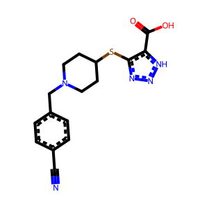 N#Cc1ccc(CN2CCC(Sc3nn[nH]c3C(=O)O)CC2)cc1